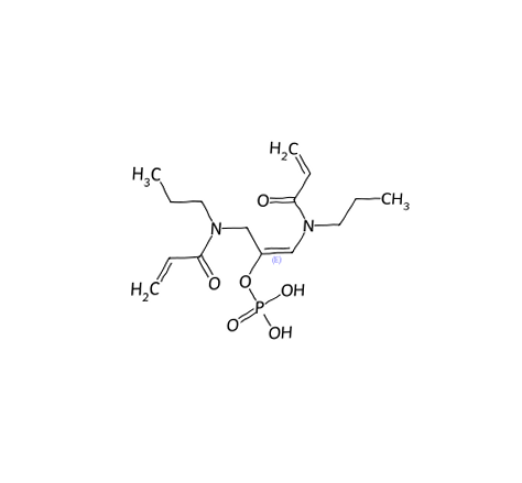 C=CC(=O)N(/C=C(\CN(CCC)C(=O)C=C)OP(=O)(O)O)CCC